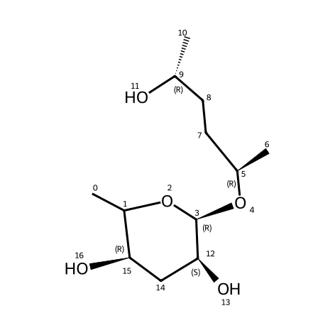 CC1O[C@@H](O[C@H](C)CC[C@@H](C)O)[C@@H](O)C[C@H]1O